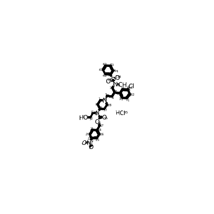 CN(CC(CCN1CCC(N(CCO)C(=O)OCc2ccc([N+](=O)[O-])cc2)CC1)c1cccc(Cl)c1)S(=O)(=O)c1ccccc1.Cl